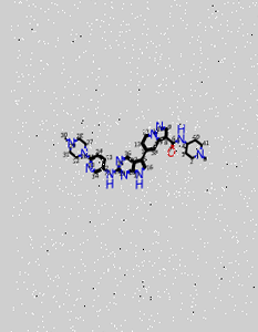 CN1CCC(NC(=O)c2cnn3ccc(-c4c[nH]c5nc(Nc6ccc(N7CCN(C)CC7)nc6)ncc45)cc23)CC1